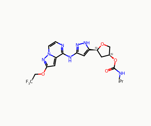 CC(C)NC(=O)O[C@@H]1CO[C@H](c2cc(Nc3nccn4nc(OCC(F)(F)F)cc34)n[nH]2)C1